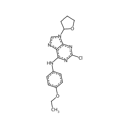 CCOc1ccc(Nc2nc(Cl)nc3c2ncn3C2CCCO2)cc1